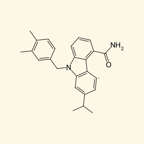 Cc1ccc(Cn2c3cc(C(C)C)c[c]c3c3c(C(N)=O)cccc32)cc1C